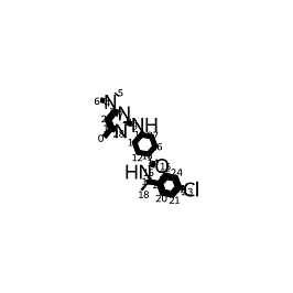 Cc1cc(N(C)C)nc(N[C@H]2CC[C@@H](C(=O)N[C@H](C)c3ccc(Cl)cc3)CC2)n1